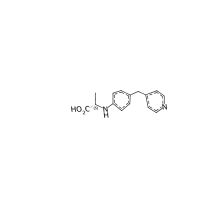 C[C@H](Nc1ccc(Cc2ccncc2)cc1)C(=O)O